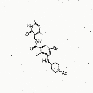 CC(=O)N1CCC(Nc2cc(Br)cc(C(=O)NCc3c(C)cc(C)[nH]c3=O)c2C)CC1